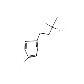 Bc1ccc(CCC(C)(C)NC)cc1